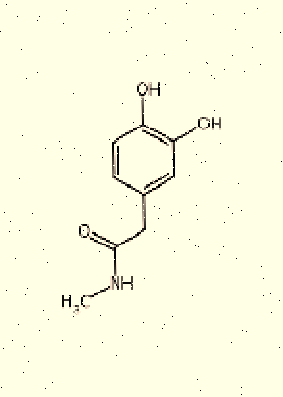 CNC(=O)Cc1ccc(O)c(O)c1